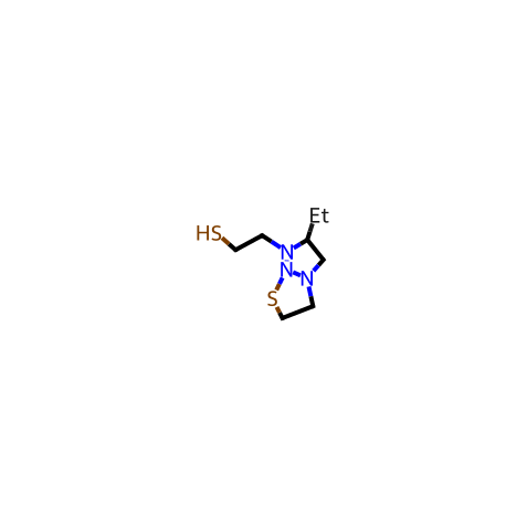 CCC1CN2CCSN2N1CCS